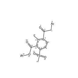 CC(=O)CC(=O)c1ccc(S(C)(=O)=O)c(C(=O)OC(C)C)c1C